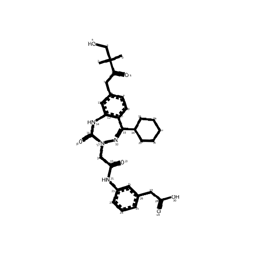 CC(C)(CO)C(=O)Cc1ccc2c(c1)NC(=O)N(CC(=O)Nc1cccc(CC(=O)O)c1)N=C2C1CCCCC1